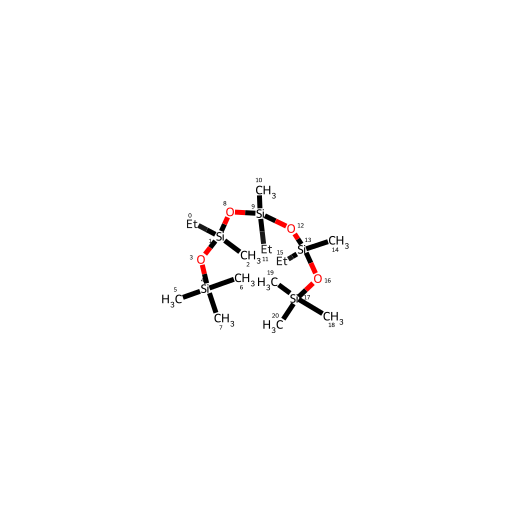 CC[Si](C)(O[Si](C)(C)C)O[Si](C)(CC)O[Si](C)(CC)O[Si](C)(C)C